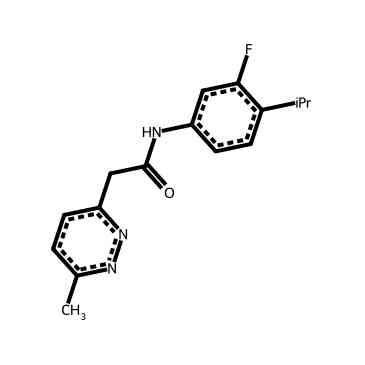 Cc1ccc(CC(=O)Nc2ccc(C(C)C)c(F)c2)nn1